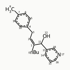 CCCC/C(=C/Cc1ccc(C)cc1)C(O)c1cccnc1